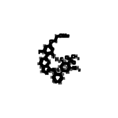 COCCOc1cc(F)c(-c2ccc3cnc(Nc4cnccc4[C@H]4C[C@@H](N)[C@H](S(C)(=O)=O)[C@@H](C)C4)n3n2)c(F)c1